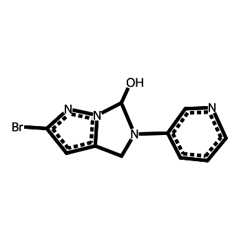 OC1N(c2cccnc2)Cc2cc(Br)nn21